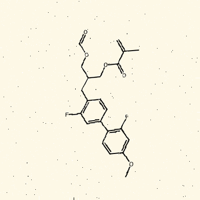 C=C(C)C(=O)OCC(COC=O)Cc1ccc(-c2ccc(OC)cc2F)cc1F